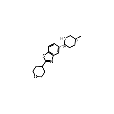 C[C@H]1CC[C@H](c2ccc3sc(C4CCOCC4)nc3c2)NC1